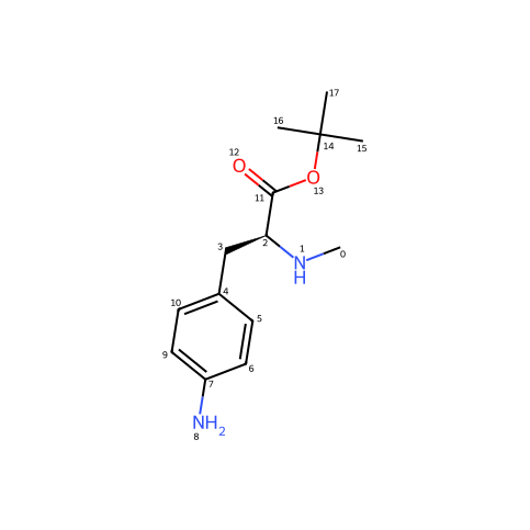 CN[C@@H](Cc1ccc(N)cc1)C(=O)OC(C)(C)C